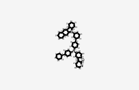 c1ccc(-c2ccc(N(c3ccc(-c4cccc(-n5c6ccccc6c6cc7ccccc7cc65)c4)cc3)c3ccc4oc5ncccc5c4c3)cc2)cc1